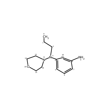 CCCN(c1cccc(N)n1)N1CCOCC1